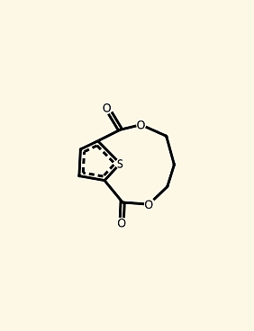 O=C1OCCCOC(=O)c2ccc1s2